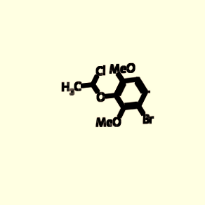 COc1c[c]c(Br)c(OC)c1OC(C)Cl